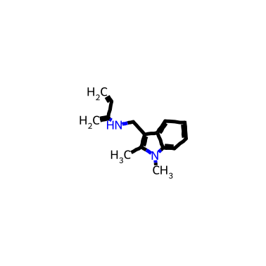 C=CC(=C)NCc1c(C)n(C)c2ccccc12